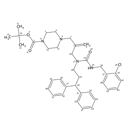 C=C(CN1CCN(C(=O)OC(C)(C)C)CC1)CN(CCC(c1ccccc1)c1ccccc1)C(=O)NCc1ccccc1Cl